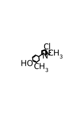 CC1=C(O)C=CC(c2cc(Cl)n(C)n2)C1